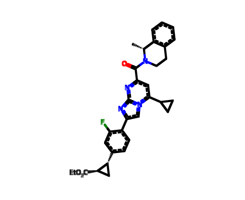 CCOC(=O)[C@@H]1C[C@H]1c1ccc(-c2cn3c(C4CC4)cc(C(=O)N4CCc5ccccc5[C@H]4C)nc3n2)c(F)c1